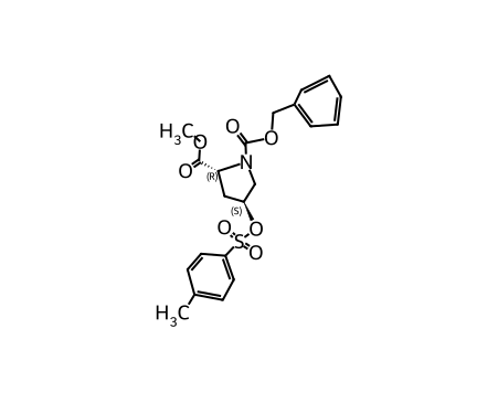 COC(=O)[C@H]1C[C@H](OS(=O)(=O)c2ccc(C)cc2)CN1C(=O)OCc1ccccc1